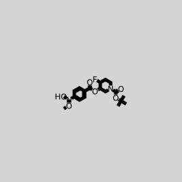 CON(O)c1ccc(C(=O)OC2CN(C(=O)OC(C)(C)C)CCC2F)cc1